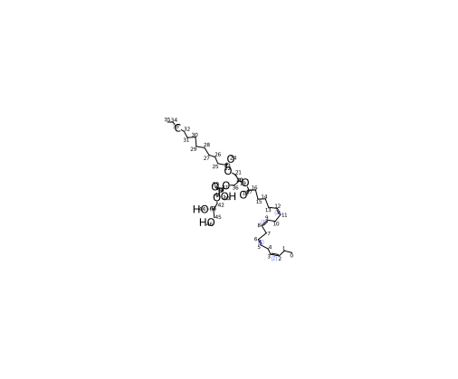 CC/C=C\C/C=C\C/C=C\C/C=C\CCCCC(=O)O[C@H](COC(=O)CCCCCCCCCCC)COP(=O)(O)OC[C@@H](O)CO